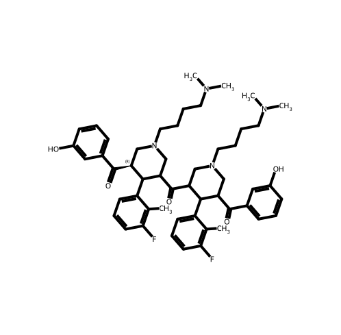 Cc1c(F)cccc1C1C(C(=O)c2cccc(O)c2)CN(CCCCN(C)C)CC1C(=O)C1CN(CCCCN(C)C)C[C@H](C(=O)c2cccc(O)c2)C1c1cccc(F)c1C